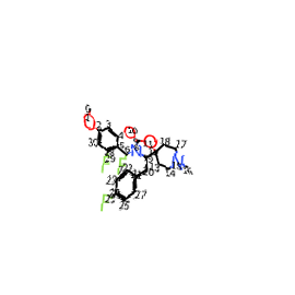 COc1ccc(C(F)N2C(=O)OC3(CCN(C)CC3)C2Cc2ccc(F)cc2)c(F)c1